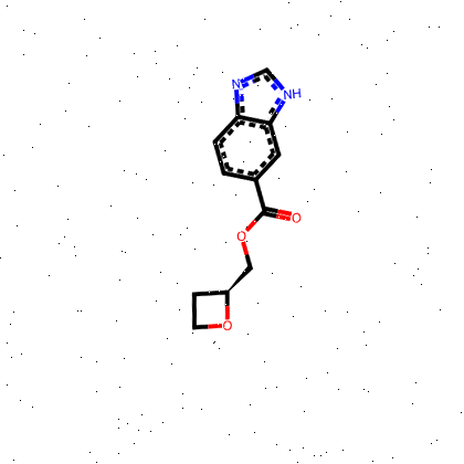 O=C(OC[C@@H]1CCO1)c1ccc2nc[nH]c2c1